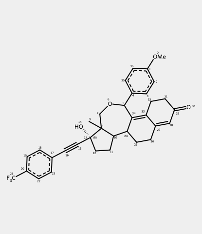 COc1ccc(C2OCC3(C)C(CC[C@@]3(O)C#Cc3ccc(C(F)(F)F)cc3)C3CCC4=CC(=O)CCC4=C23)cc1